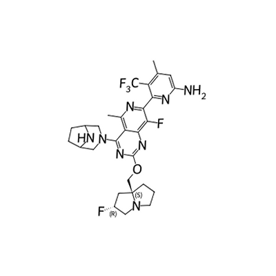 Cc1cc(N)nc(-c2nc(C)c3c(N4CC5CCC(C4)N5)nc(OC[C@@]45CCCN4C[C@H](F)C5)nc3c2F)c1C(F)(F)F